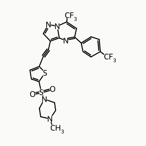 CN1CCN(S(=O)(=O)c2ccc(C#Cc3cnn4c(C(F)(F)F)cc(-c5ccc(C(F)(F)F)cc5)nc34)s2)CC1